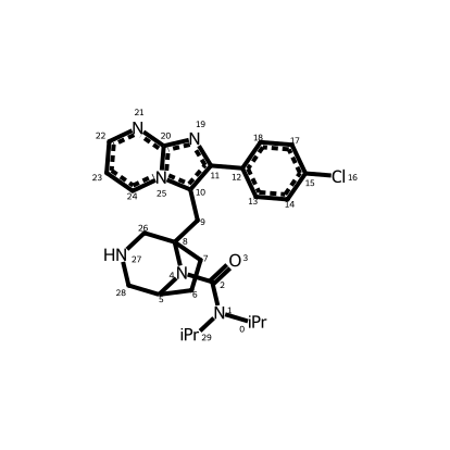 CC(C)N(C(=O)N1C2CCC1(Cc1c(-c3ccc(Cl)cc3)nc3ncccn13)CNC2)C(C)C